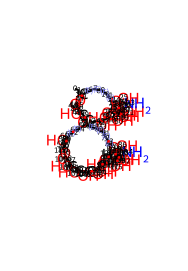 CCC[C@H]1C/C=C/C=C/C=C/C=C/C(O[C@@H]2O[C@H](CO)[C@@H](O)[C@H](N)[C@@H]2O)CC2OC(O)(CC(O)CCCC(=O)CC(O)C(CC)C(=O)O1)CC(O)C2C(=O)O.C[C@@H]1[C@H](O)[C@@H](C)/C=C/C=C/CC/C=C/C=C/C=C/C=C/[C@H](O[C@@H]2O[C@H](C)[C@@H](O)[C@H](N)[C@@H]2O)C[C@@H]2O[C@](O)(C[C@@H](O)[C@H](O)CC[C@@H](O)C[C@@H](O)C[C@@H](O)CC(=O)O[C@H]1C)C[C@H](O)[C@H]2C(=O)O